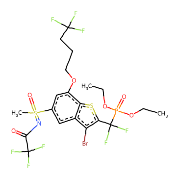 CCOP(=O)(OCC)C(F)(F)c1sc2c(OCCCC(F)(F)F)cc(S(C)(=O)=NC(=O)C(F)(F)F)cc2c1Br